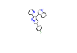 Fc1ccc(C2Cc3c(-c4ccnc5ccccc45)c(-c4ccccn4)nn3C2)cc1